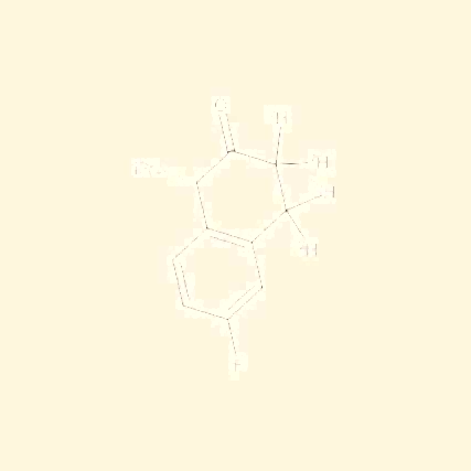 [2H]C1([2H])C(=O)[C@@H](C(C)C)c2ccc(F)cc2C1([2H])[2H]